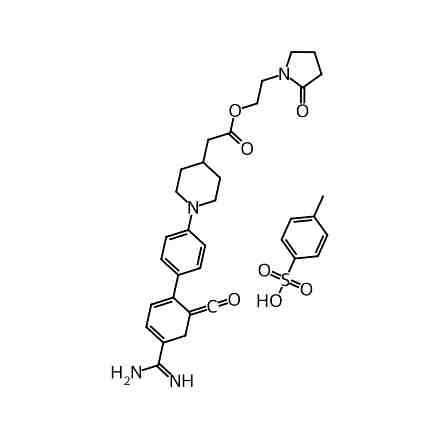 Cc1ccc(S(=O)(=O)O)cc1.N=C(N)C1=CC=C(c2ccc(N3CCC(CC(=O)OCCN4CCCC4=O)CC3)cc2)C(=C=O)C1